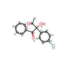 CC(=O)C(O)(C(=O)c1ccccc1)c1ccc(Cl)cc1